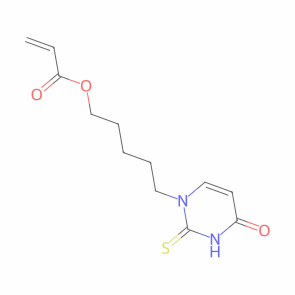 C=CC(=O)OCCCCCn1ccc(=O)[nH]c1=S